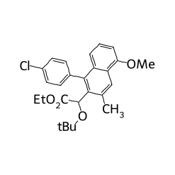 CCOC(=O)C(OC(C)(C)C)c1c(C)cc2c(OC)cccc2c1-c1ccc(Cl)cc1